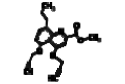 C#CCOc1ccc(CCC)c2nc(C(=O)OC)cc(OCC#C)c12